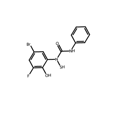 O=C(Nc1ccccc1)N(S)c1cc(Br)cc(F)c1O